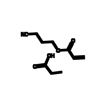 C=CC(=O)OCCCC#N.CCC(=O)O